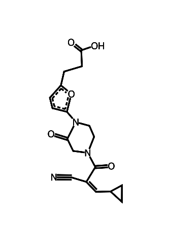 N#C/C(=C/C1CC1)C(=O)N1CCN(c2ccc(CCC(=O)O)o2)C(=O)C1